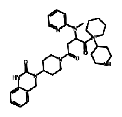 CN(c1ccccn1)C(CC(=O)N1CCC(N2Cc3ccccc3NC2=O)CC1)C(=O)[N+]1(C2CCNCC2)CCCCC1